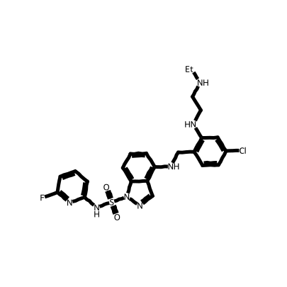 CCNCCNc1cc(Cl)ccc1CNc1cccc2c1cnn2S(=O)(=O)Nc1cccc(F)n1